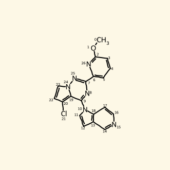 COc1cccc(-c2nc(-n3ccc4cnccc43)c3c(Cl)ccn3n2)n1